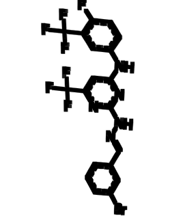 Fc1ccc(Nc2cc(C(F)(F)F)nc(N/N=C/c3cccc(Br)c3)n2)cc1C(F)(F)F